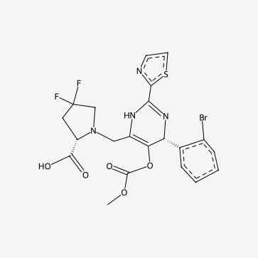 COC(=O)OC1=C(CN2CC(F)(F)C[C@H]2C(=O)O)NC(c2nccs2)=N[C@@H]1c1ccccc1Br